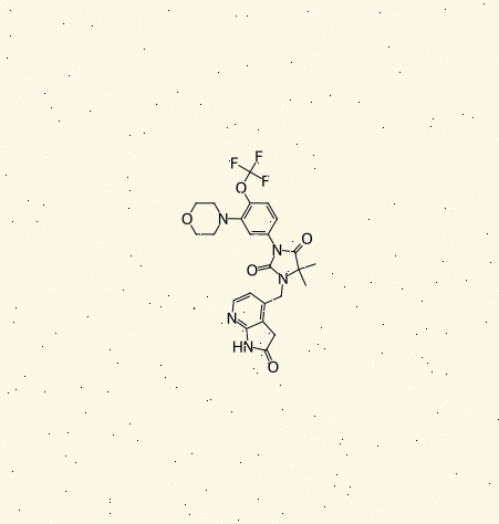 CC1(C)C(=O)N(c2ccc(OC(F)(F)F)c(N3CCOCC3)c2)C(=O)N1Cc1ccnc2c1CC(=O)N2